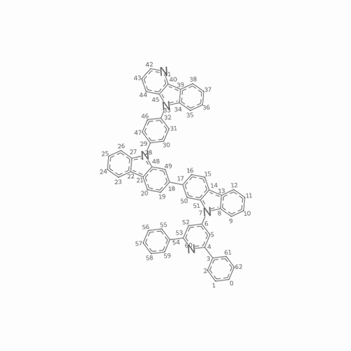 c1ccc(-c2cc(-n3c4ccccc4c4ccc(-c5ccc6c7ccccc7n(-c7ccc(-n8c9ccccc9c9ncccc98)cc7)c6c5)cc43)cc(-c3ccccc3)n2)cc1